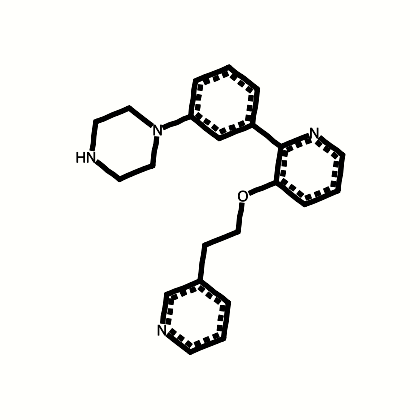 c1cncc(CCOc2cccnc2-c2cccc(N3CCNCC3)c2)c1